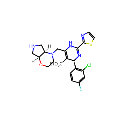 CCOC(=O)C1=C(CN2CCO[C@H]3CNC[C@H]32)NC(c2nccs2)=N[C@H]1c1ccc(F)cc1Cl